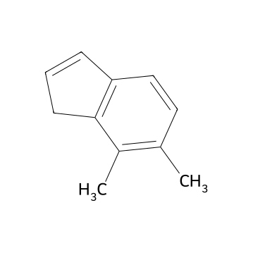 Cc1ccc2c(c1C)CC=C2